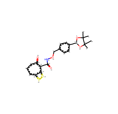 CC1(C)OB(c2ccc(CONC(=O)c3c(=O)cccc4ssc34)cc2)OC1(C)C